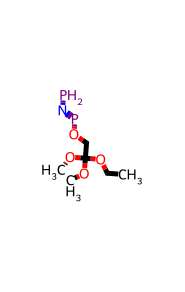 CCOC(COP=NP)(OC)OC